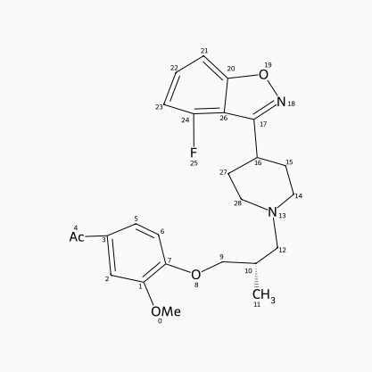 COc1cc(C(C)=O)ccc1OC[C@@H](C)CN1CCC(c2noc3cccc(F)c23)CC1